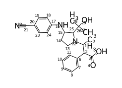 CC(C(C(=O)O)c1ccccc1)N1CCC(Nc2ccc(C#N)cc2)C1C(C)(C)O